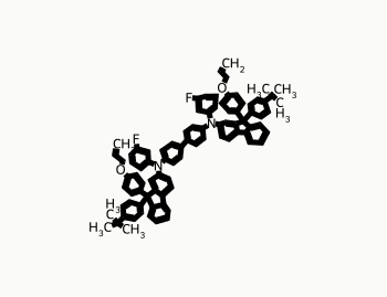 C=CCOc1ccc(C2(c3ccc(C(C)(C)C)cc3)c3ccccc3-c3ccc(N(c4ccc(-c5ccc(N(c6cccc(F)c6)c6ccc7c(c6)C(c6ccc(OCC=C)cc6)(c6ccc(C(C)(C)C)cc6)c6ccccc6-7)cc5)cc4)c4cccc(F)c4)cc32)cc1